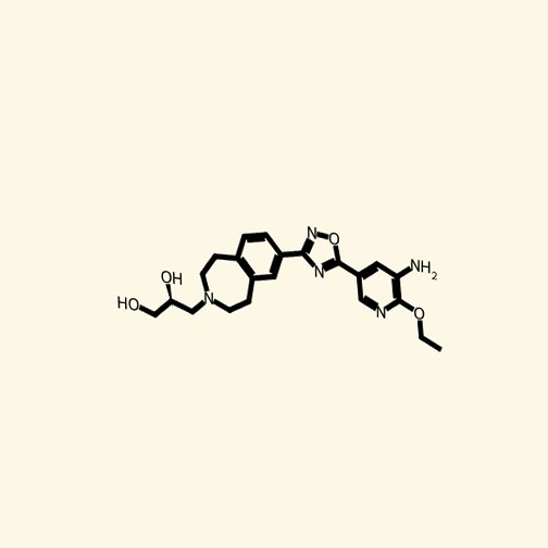 CCOc1ncc(-c2nc(-c3ccc4c(c3)CCN(C[C@H](O)CO)CC4)no2)cc1N